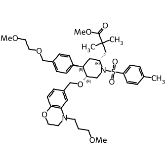 COCCCN1CCOc2ccc(CO[C@H]3CN(S(=O)(=O)c4ccc(C)cc4)[C@@H](CC(C)(C)C(=O)OC)C[C@@H]3c3ccc(COCCOC)cc3)cc21